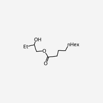 CCCCCCCCCC(=O)OCC(O)CC